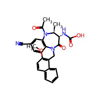 COc1ccc2ccccc2c1CN1C(=O)[C@@H](NC(=O)O)[C@H](C)N(C(C)=O)c2cc(C#N)ccc21